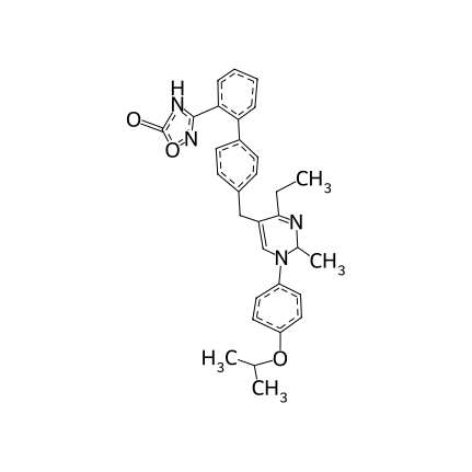 CCC1=NC(C)N(c2ccc(OC(C)C)cc2)C=C1Cc1ccc(-c2ccccc2-c2noc(=O)[nH]2)cc1